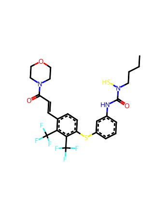 CCCCN(S)C(=O)Nc1cccc(Sc2ccc(C=CC(=O)N3CCOCC3)c(C(F)(F)F)c2C(F)(F)F)c1